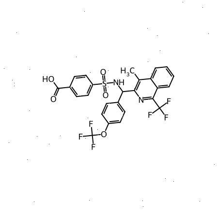 Cc1c(C(NS(=O)(=O)c2ccc(C(=O)O)cc2)c2ccc(OC(F)(F)F)cc2)nc(C(F)(F)F)c2ccccc12